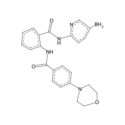 Bc1ccc(NC(=O)c2ccccc2NC(=O)c2ccc(N3CCOCC3)cc2)nc1